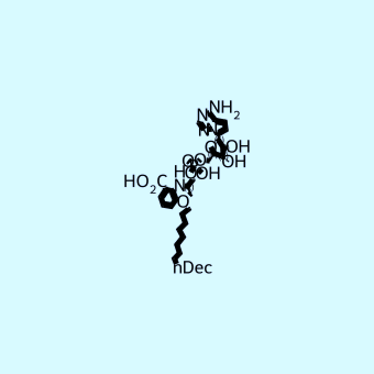 CCCCCCCCCCCCCCCCCCOC[C@H](COP(=O)(O)OC[C@H]1O[C@@H](c2ccc3c(N)ncnn23)[C@H](O)[C@@H]1O)Nc1ccccc1C(=O)O